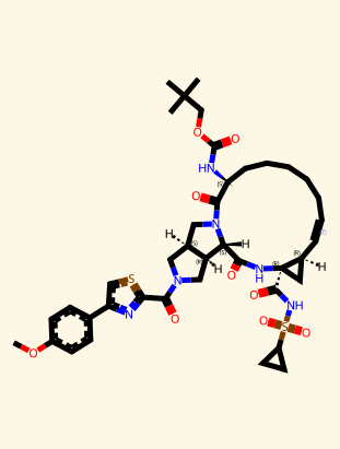 COc1ccc(-c2csc(C(=O)N3C[C@H]4CN5C(=O)[C@@H](NC(=O)OCC(C)(C)C)CCCCC/C=C\[C@H]6C[C@@]6(C(=O)NS(=O)(=O)C6CC6)NC(=O)[C@@H]5[C@H]4C3)n2)cc1